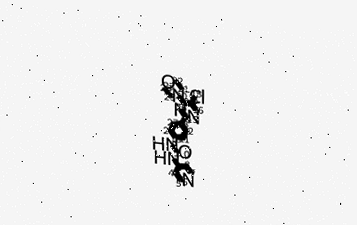 O=C(Nc1ccncc1)Nc1ccc(-c2ncc(Cl)c(N3CCOCC3)n2)cc1